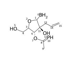 BC1OC(CO)[C@@H](OC(C)=P)[C@@]1(O)CC=C